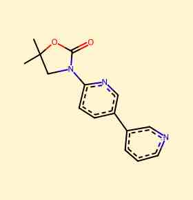 CC1(C)CN(c2ccc(-c3cccnc3)cn2)C(=O)O1